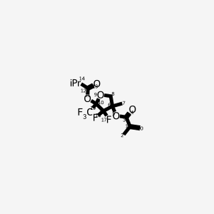 C=C(C)C(=O)OC1(C)COC(OC(=O)C(C)C)(C(F)(F)F)C1(F)F